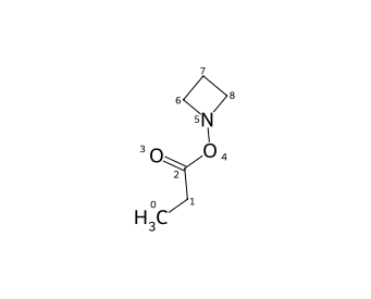 CCC(=O)ON1CCC1